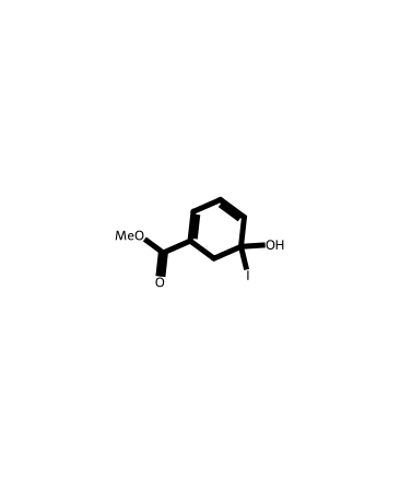 COC(=O)C1=CC=CC(O)(I)C1